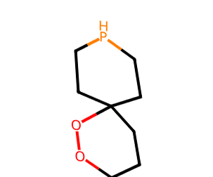 C1COOC2(C1)CCPCC2